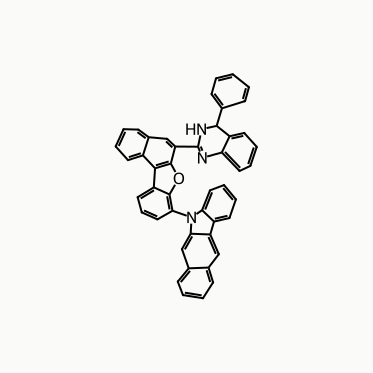 c1ccc(C2NC(c3cc4ccccc4c4c3oc3c(-n5c6ccccc6c6cc7ccccc7cc65)cccc34)=Nc3ccccc32)cc1